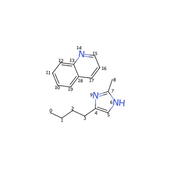 CCCCc1c[nH]c(C)n1.c1ccc2ncccc2c1